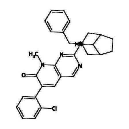 Cn1c(=O)c(-c2ccccc2Cl)cc2cnc(NC3C4CCC3CN(Cc3ccccc3)C4)nc21